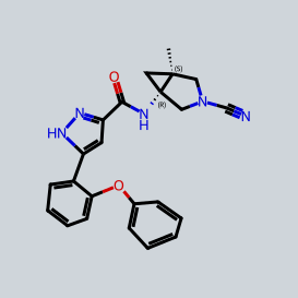 C[C@]12CN(C#N)C[C@@]1(NC(=O)c1cc(-c3ccccc3Oc3ccccc3)[nH]n1)C2